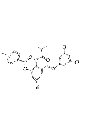 Cc1ccc(C(=O)Oc2cc(Br)cc(C=Nc3cc(Cl)cc(Cl)c3)c2OC(=O)C(C)C)cc1